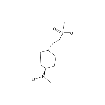 CCN(C)[C@H]1CC[C@H](CCS(C)(=O)=O)CC1